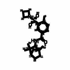 Cc1ccc(C(=O)NC2C3(C)CCC(C3)C2(C)C)cc1S(=O)(=O)N1CCC1